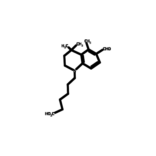 Cc1c(C=O)ccc2c1C(C)(C)CCN2CCCCCC(=O)O